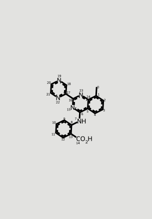 Cc1cccc2c(Nc3ccccc3C(=O)O)nc(-c3cnccn3)nc12